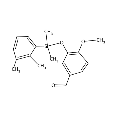 COc1ccc(C=O)cc1O[Si](C)(C)c1cccc(C)c1C